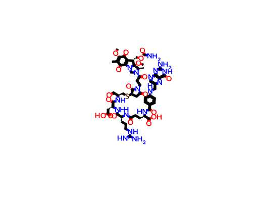 COC1=C(C)C(=O)C2=C(C1=O)[C@H](COC(N)=O)[C@]1(OC)[C@@H](C)N(C(=O)CCN3C(=O)CC(SC[C@H](C=O)NC(=O)[C@@H](CC(=O)O)NC(=O)[C@@H](CCCNC(=N)N)NC(=O)CC[C@@H](NC(=O)c4ccc(NCc5cnc6nc(N)[nH]c(=O)c6n5)cc4)C(=O)O)C3=O)CN21